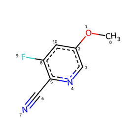 COc1cnc(C#N)c(F)c1